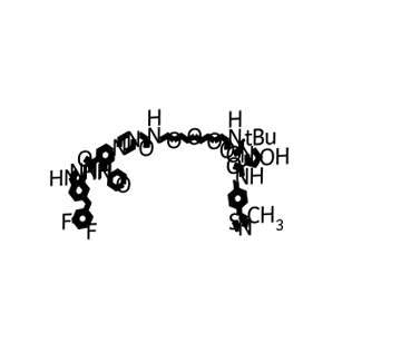 Cc1ncsc1-c1ccc(CNC(=O)[C@@H]2C[C@@H](O)CN2C(=O)[C@@H](NC(=O)COCCOCCOCCNC(=O)CN2CCN(c3ccc(C(=O)Nc4n[nH]c5ccc(Cc6cc(F)cc(F)c6)cc45)c(NC4CCOCC4)c3)CC2)C(C)(C)C)cc1